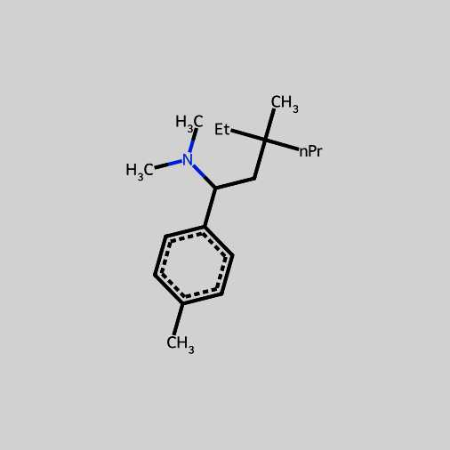 CCCC(C)(CC)CC(c1ccc(C)cc1)N(C)C